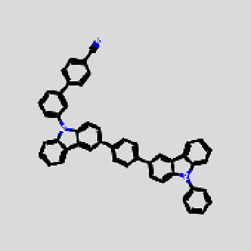 N#Cc1ccc(-c2cccc(-n3c4ccccc4c4cc(-c5ccc(-c6ccc7c(c6)c6ccccc6n7-c6ccccc6)cc5)ccc43)c2)cc1